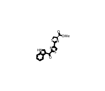 COC(=O)[C@@H]1CSC(c2csc(C(=O)c3c[nH]c4ccccc34)n2)=N1